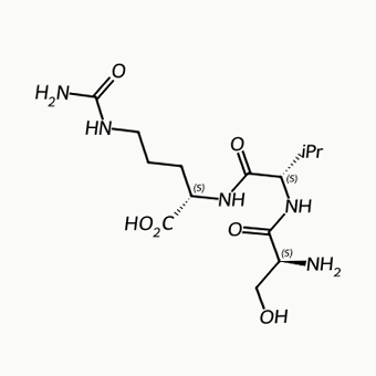 CC(C)[C@H](NC(=O)[C@@H](N)CO)C(=O)N[C@@H](CCCNC(N)=O)C(=O)O